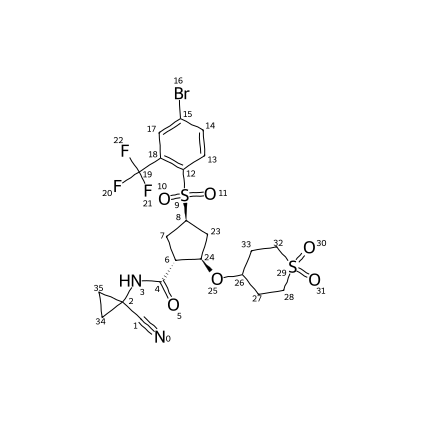 N#CC1(NC(=O)[C@@H]2C[C@@H](S(=O)(=O)c3ccc(Br)cc3C(F)(F)F)C[C@H]2OC2CCS(=O)(=O)CC2)CC1